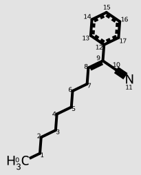 CCCCCCCCC=C(C#N)c1ccccc1